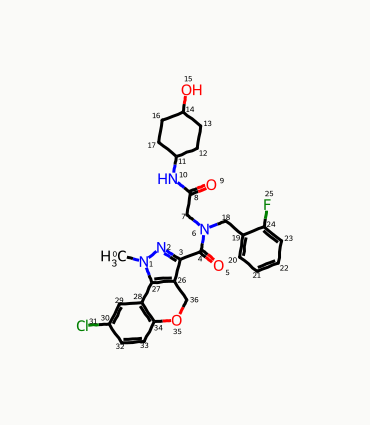 Cn1nc(C(=O)N(CC(=O)NC2CCC(O)CC2)Cc2ccccc2F)c2c1-c1cc(Cl)ccc1OC2